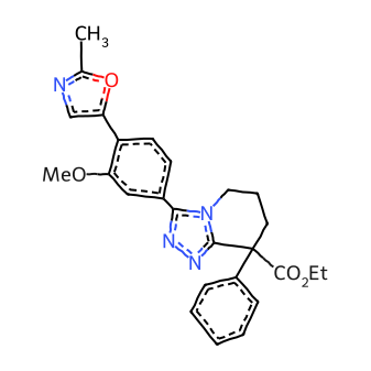 CCOC(=O)C1(c2ccccc2)CCCn2c(-c3ccc(-c4cnc(C)o4)c(OC)c3)nnc21